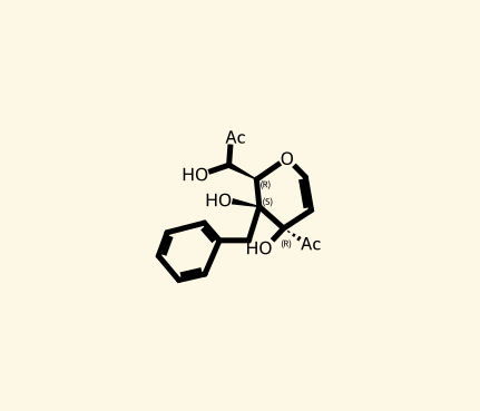 CC(=O)C(O)[C@H]1OC=C[C@](O)(C(C)=O)[C@]1(O)Cc1ccccc1